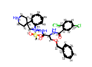 CS(=O)(=O)[N+]1(NC(=O)C(COCc2ccccc2)NC(=O)c2cc(Cl)ccc2Cl)CC2(CCNCC2)c2ccccc21